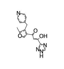 Cc1occ(C(=O)C=C(O)c2nc[nH]n2)c1Cc1ccncc1